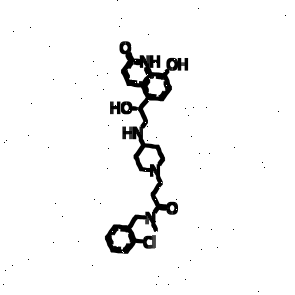 CN(Cc1ccccc1Cl)C(=O)CCN1CCC(NC[C@@H](O)c2ccc(O)c3[nH]c(=O)ccc23)CC1